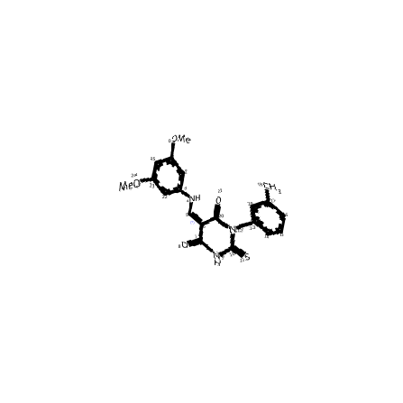 COc1cc(N/C=C2/C(=O)NC(=S)N(c3cccc(C)c3)C2=O)cc(OC)c1